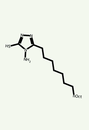 CCCCCCCCCCCCCCCc1nnc(S)n1N